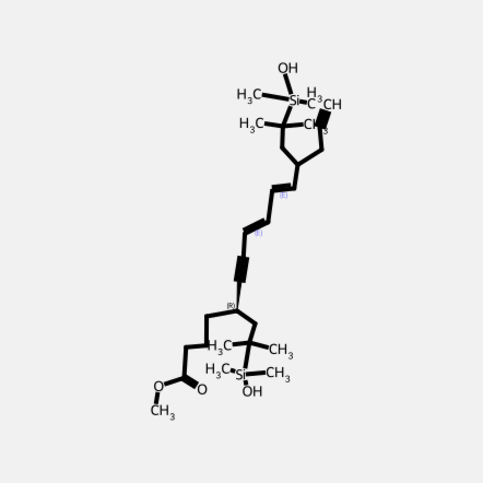 C#CCC(/C=C/C=C/C#C[C@H](CCCC(=O)OC)CC(C)(C)[Si](C)(C)O)CC(C)(C)[Si](C)(C)O